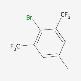 Cc1cc(C(F)(F)F)c(Br)c(C(F)(F)F)c1